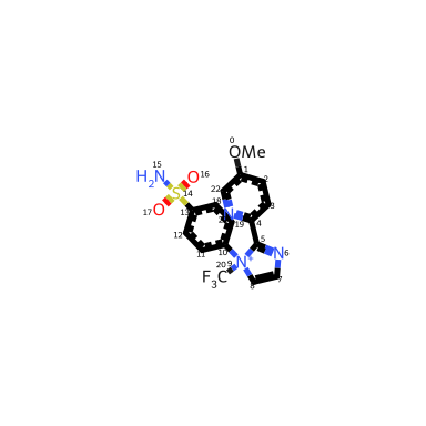 COc1ccc(C2=NC=C[N+]2(c2ccc(S(N)(=O)=O)cc2)C(F)(F)F)nc1